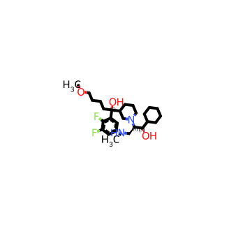 CNC[C@H]([C@@H](O)C1CCCCC1)N1CCCC([C@@](O)(CCCCOC)c2cccc(F)c2F)C1